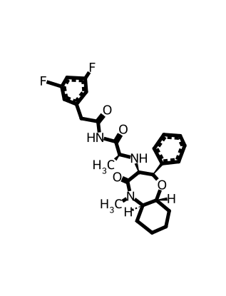 C[C@H](N[C@@H]1C(=O)N(C)[C@@H]2CCCC[C@H]2O[C@@H]1c1ccccc1)C(=O)NC(=O)Cc1cc(F)cc(F)c1